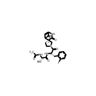 CC(C)(C)[C@H](NC(=O)C(F)(F)F)C(=O)N[C@@H](Cc1ccccc1F)C(=O)N1CC[C@@]2(C1)C(=O)NC1=CC2[C@H]1F